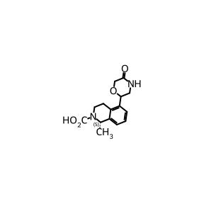 C[C@H]1c2cccc(C3CNC(=O)CO3)c2CCN1C(=O)O